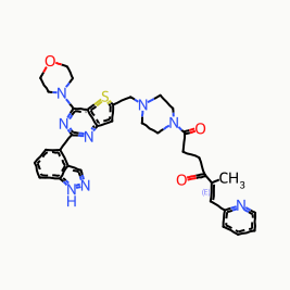 C/C(=C\c1ccccn1)C(=O)CCC(=O)N1CCN(Cc2cc3nc(-c4cccc5[nH]ncc45)nc(N4CCOCC4)c3s2)CC1